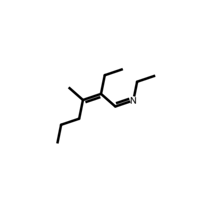 CCC/C(C)=C(\C=N/CC)CC